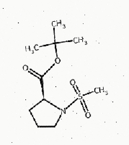 CC(C)(C)OC(=O)[C@@H]1CCCN1S(C)(=O)=O